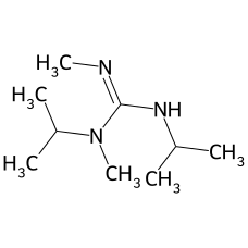 C/N=C(/NC(C)C)N(C)C(C)C